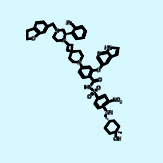 CC(C)c1ccccc1[C@@H]1CN(Cc2ccc3c(c2)OCC3)CCN1C1CC2(CCN(c3ccc(C(=O)NS(=O)(=O)c4ccc(NC[C@H]5CC[C@](C)(O)CC5)c([N+](=O)[O-])c4)c(Oc4cnc5[nH]ccc5c4)c3)CC2)C1